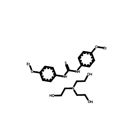 CCOc1ccc(NC(=S)Nc2ccc(OCC)cc2)cc1.OCCN(CCO)CCO